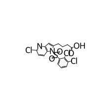 O=C(O)CCCc1cc2nc(Cl)ccc2n1S(=O)(=O)c1cccc(Cl)c1Cl